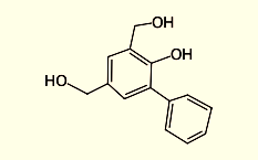 OCc1cc(CO)c(O)c(-c2ccccc2)c1